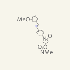 CNC(=O)OC1CC(=O)N(c2ccc(/C=C/c3cccc(OC)c3)cc2)C1